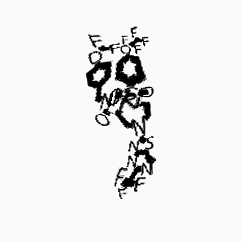 O=C(NCc1ccc(OC(F)F)cc1)[C@H]1CN(c2nc3nc(C(F)(F)F)ncc3s2)CCN1S(=O)(=O)c1ccc(OC(F)(F)C(F)F)cc1